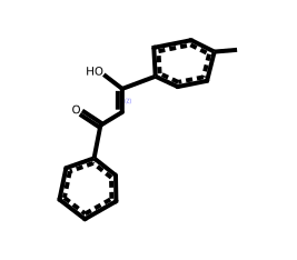 Cc1ccc(/C(O)=C/C(=O)c2ccccc2)cc1